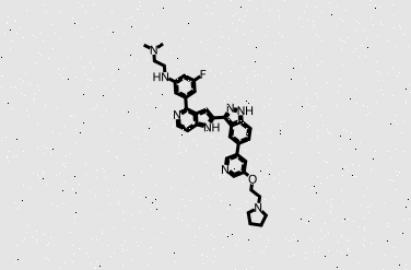 CN(C)CCNc1cc(F)cc(-c2nccc3[nH]c(-c4n[nH]c5ccc(-c6cncc(OCCN7CCCC7)c6)cc45)cc23)c1